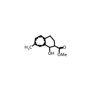 COC(=O)C1CCc2ccc(C)cc2C1O